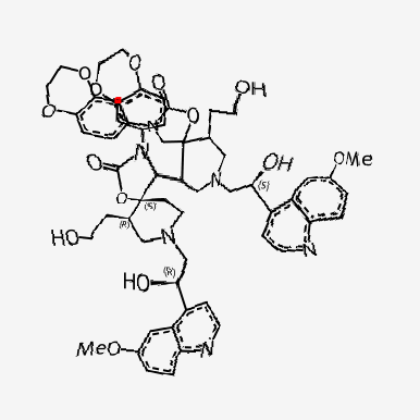 COc1ccc2nccc([C@H](O)CN3CC(CCO)C4(CN(c5ccc6c(c5)OCCO6)C(=O)O4)C(C4N(c5ccc6c(c5)OCCO6)C(=O)O[C@]45CCN(C[C@H](O)c4ccnc6ccc(OC)cc46)C[C@H]5CCO)C3)c2c1